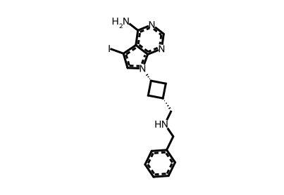 Nc1ncnc2c1c(I)cn2[C@H]1C[C@@H](CNCc2ccccc2)C1